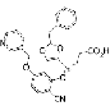 N#Cc1ccc(OCc2cccnc2)cc1O[C@@H](CCC(=O)O)C1=COC(Cc2ccccc2)O1